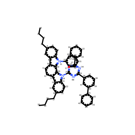 CCCCc1ccc2c(c1)c1ccc3c4cc(CCCC)ccc4n(-c4nc(-c5ccccc5)nc(-c5cccc(-c6ccccc6)c5)n4)c3c1n2-c1ccccc1